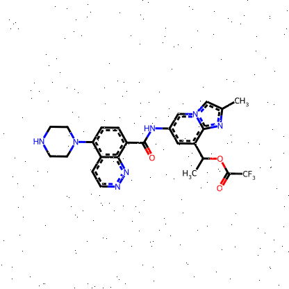 Cc1cn2cc(NC(=O)c3ccc(N4CCNCC4)c4ccnnc34)cc(C(C)OC(=O)C(F)(F)F)c2n1